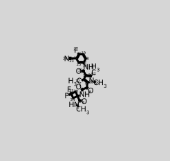 CNC(=O)C1(NC(=O)C(=O)c2c(C)c(C(=O)Nc3ccc(F)c(C#N)c3)c(C)n2C)CC(F)(F)C1